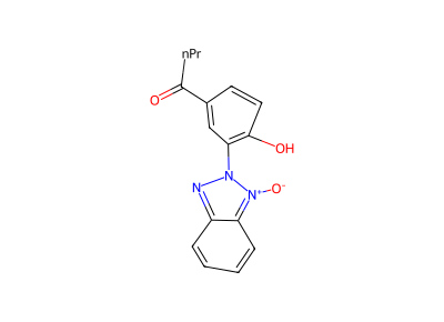 CCCC(=O)c1ccc(O)c(-n2nc3ccccc3[n+]2[O-])c1